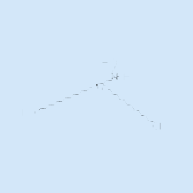 CCCCCCCCCCCCCCOCC(CCN(C)CCO)OCCCCCCCCCCCCCC